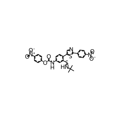 CC(C)(C)NSc1cc(NC(=O)Oc2ccc([N+](=O)[O-])cc2)ccc1-c1cnc(-c2ccc([N+](=O)[O-])cc2)s1